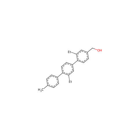 CCc1cc(CO)ccc1-c1ccc(-c2ccc(C)cc2)c(CC)c1